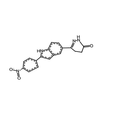 O=C1CCC(c2ccc3[nH]c(-c4ccc([N+](=O)[O-])cc4)cc3c2)=NN1